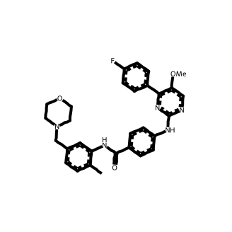 COc1cnc(Nc2ccc(C(=O)Nc3cc(CN4CCOCC4)ccc3C)cc2)nc1-c1ccc(F)cc1